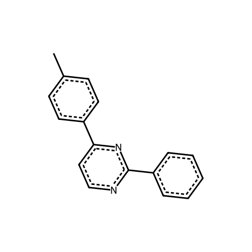 Cc1ccc(-c2ccnc(-c3ccccc3)n2)cc1